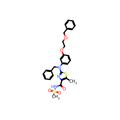 Cc1sc(N(Cc2ccccc2)c2cccc(OCCOCc3ccccc3)c2)nc1C(=O)NS(C)(=O)=O